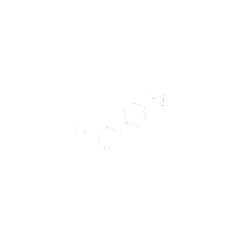 CC1(c2ccc(OC[C@H](O)C(F)(F)F)cc2)CC1